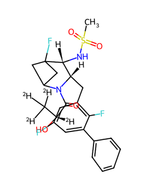 [2H]C([2H])([2H])[C@@]([2H])(O)C(=O)N1C2CC(F)(C2)[C@H](NS(C)(=O)=O)[C@@H]1Cc1cc(F)cc(-c2ccccc2)c1F